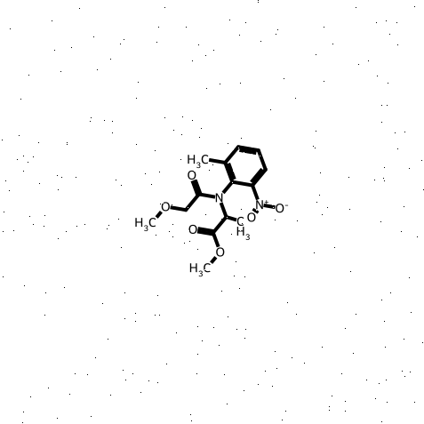 COCC(=O)N(c1c(C)cccc1[N+](=O)[O-])C(C)C(=O)OC